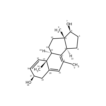 CC1=C2[C@@H]3CC[C@H](O)[C@@]3(C)CC[C@@H]2[C@@]2(C)C=C[C@H](O)CC2=C1